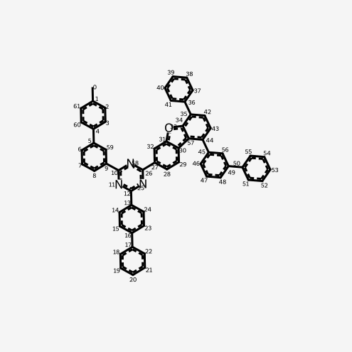 Cc1ccc(-c2cccc(-c3nc(-c4ccc(-c5ccccc5)cc4)nc(-c4ccc5c(c4)oc4c(-c6ccccc6)ccc(-c6cccc(-c7ccccc7)c6)c45)n3)c2)cc1